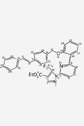 CCOC(=O)c1cnn(-c2cccc(-c3ccccc3OCc3ccc(C=Cc4ccc(C(F)(F)F)cc4)cc3)n2)c1C(F)(F)F